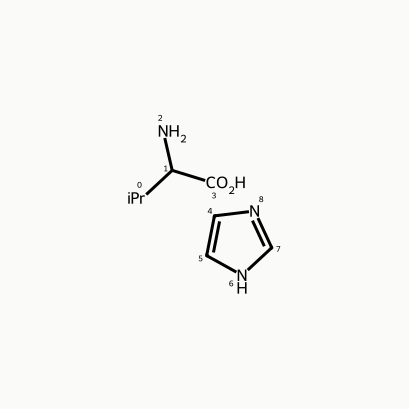 CC(C)C(N)C(=O)O.c1c[nH]cn1